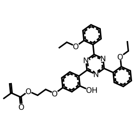 C=C(C)C(=O)OCCOc1ccc(-c2nc(-c3ccccc3OCC)nc(-c3ccccc3OCC)n2)c(O)c1